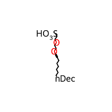 CCCCCCCCCCCCCCCCC#COCCOCCS(=O)(=O)O